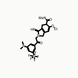 CCOC1=CC2=C(CC1C(=O)NC)C(=N)N(CC(=O)c1cc(N(C)C)cc(S(F)(F)(F)(F)F)c1)C2